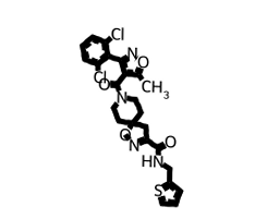 Cc1onc(-c2c(Cl)cccc2Cl)c1C(=O)N1CCC2(CC1)CC(C(=O)NCc1cccs1)=NO2